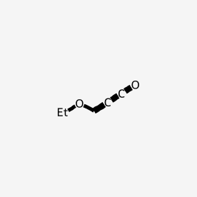 CCOC=C=C=O